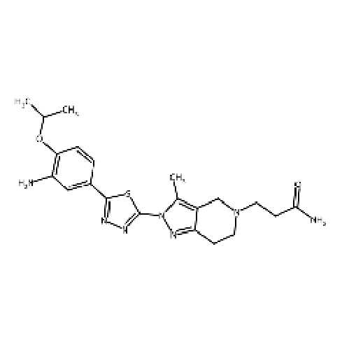 Cc1c2c(nn1-c1nnc(-c3ccc(OC(C)C)c(N)c3)s1)CCN(CCC(N)=O)C2